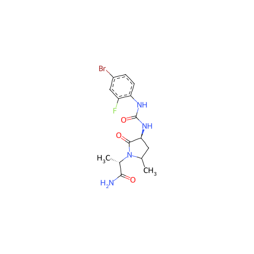 CC1C[C@H](NC(=O)Nc2ccc(Br)cc2F)C(=O)N1[C@@H](C)C(N)=O